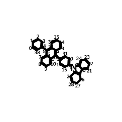 c1cccc(-c2c3ccccc3c(-c3ccc(-n4c5c(c6ccccc64)CCC=C5)cc3)c3ccccc23)c#1